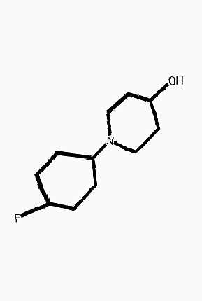 OC1CCN(C2CCC(F)CC2)CC1